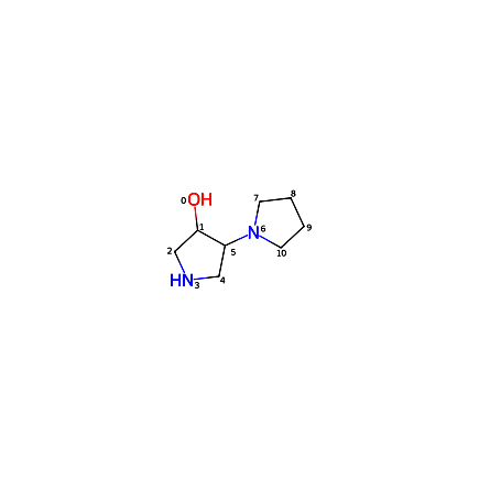 OC1CNCC1N1CCCC1